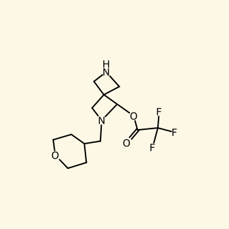 O=C(OC1N(CC2CCOCC2)CC12CNC2)C(F)(F)F